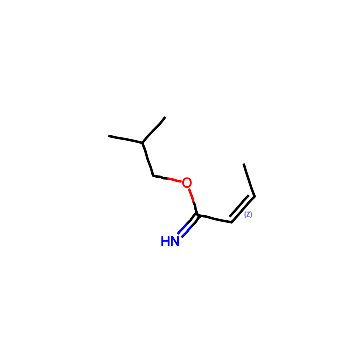 C/C=C\C(=N)OCC(C)C